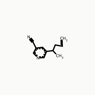 C=CCC(C)c1cncc(C#N)c1